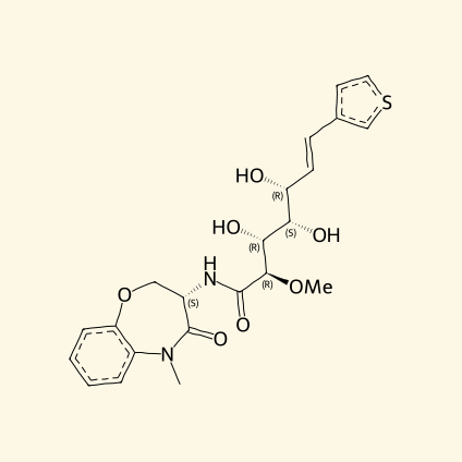 CO[C@@H](C(=O)N[C@H]1COc2ccccc2N(C)C1=O)[C@H](O)[C@@H](O)[C@H](O)C=Cc1ccsc1